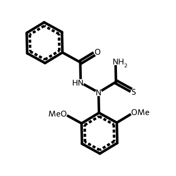 COc1cccc(OC)c1N(NC(=O)c1ccccc1)C(N)=S